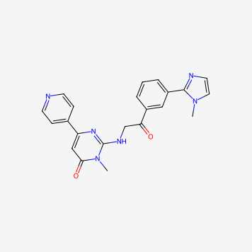 Cn1ccnc1-c1cccc(C(=O)CNc2nc(-c3ccncc3)cc(=O)n2C)c1